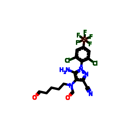 N#Cc1nn(-c2c(Cl)cc(S(F)(F)(F)(F)F)cc2Cl)c(N)c1N(C=O)CCCCC=O